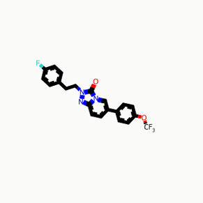 O=c1n(CCc2ccc(F)cc2)nc2ccc(-c3ccc(OC(F)(F)F)cc3)cn12